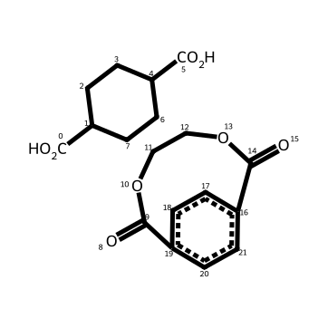 O=C(O)C1CCC(C(=O)O)CC1.O=C1OCCOC(=O)c2ccc1cc2